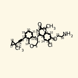 Cn1c(=O)nc(N2CCOCc3c(C#CC4(C(F)(F)F)CC4)cccc32)c2cc(Cl)c(OCCN)cc21